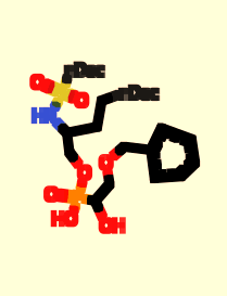 CCCCCCCCCCCCC(COP(=O)(O)C(O)COCc1ccccc1)NS(=O)(=O)CCCCCCCCCC